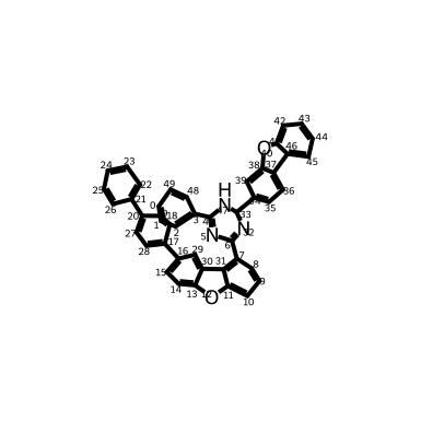 c1ccc(C2=NC(c3cccc4oc5ccc(-c6ccc(-c7ccccc7)cc6)cc5c34)=NC(c3ccc4c(c3)oc3ccccc34)N2)cc1